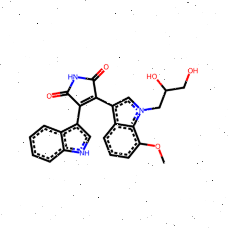 COc1cccc2c(C3=C(c4c[nH]c5ccccc45)C(=O)NC3=O)cn(CC(O)CO)c12